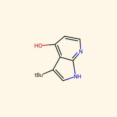 CC(C)(C)c1c[nH]c2nccc(O)c12